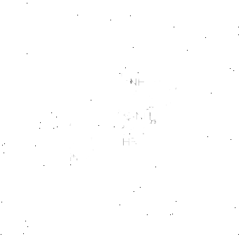 Br.NC(=O)C(CCC1=C2C=COC=C2CC1)C1CCNC1(c1ccccc1)c1ccccc1